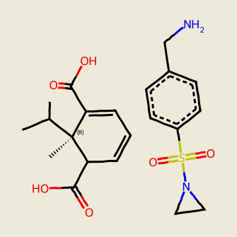 CC(C)[C@@]1(C)C(C(=O)O)=CC=CC1C(=O)O.NCc1ccc(S(=O)(=O)N2CC2)cc1